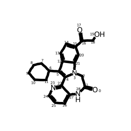 O=C1Cn2c(c(C3CCCCC3)c3ccc(C(=O)CO)cc32)-c2ncccc2N1